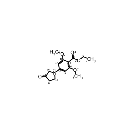 CCOC(=O)c1c(OC)cc(N2CCC(=O)C2)cc1OC